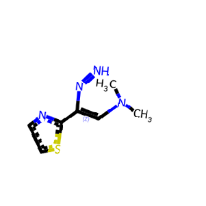 CN(C)/C=C(\N=N)c1nccs1